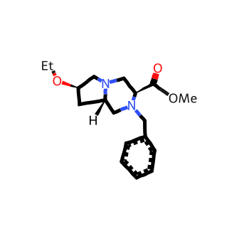 CCO[C@@H]1C[C@H]2CN(Cc3ccccc3)[C@H](C(=O)OC)CN2C1